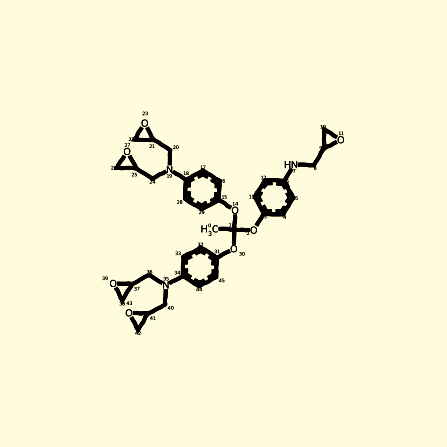 CC(Oc1ccc(NCC2CO2)cc1)(Oc1ccc(N(CC2CO2)CC2CO2)cc1)Oc1ccc(N(CC2CO2)CC2CO2)cc1